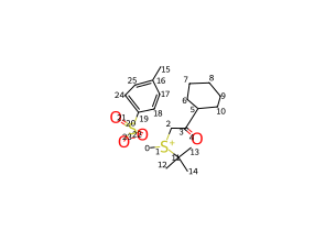 C[S+](CC(=O)C1CCCCC1)C(C)(C)C.Cc1ccc(S(=O)(=O)[O-])cc1